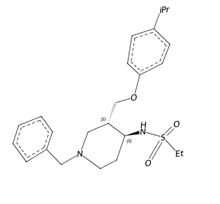 CCS(=O)(=O)N[C@H]1CCN(Cc2ccccc2)C[C@@H]1COc1ccc(C(C)C)cc1